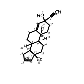 C#CC1(O)C=C2CC[C@@H]3[C@H](CCC4(CC)C=CC[C@@H]34)[C@H]2CC1